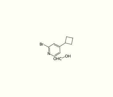 Brc1cc(C2CCC2)ccn1.O=CO